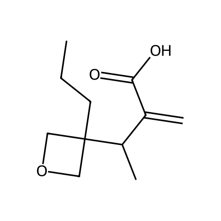 C=C(C(=O)O)C(C)C1(CCC)COC1